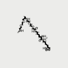 C=C(COCCOCCNC)NCCOCCOCC(=O)NCCCCC(N)C(=O)NCCCCC(C=O)NO